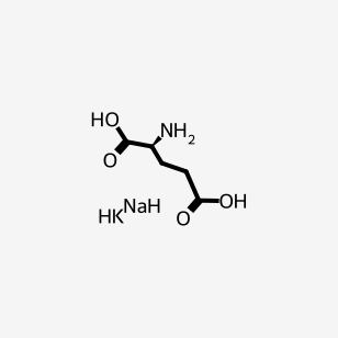 N[C@@H](CCC(=O)O)C(=O)O.[KH].[NaH]